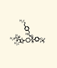 CCCc1ccc(CNC(=O)[C@H]2CN(c3nc(C)c(S(=O)(=O)NC)s3)CCN2S(=O)(=O)c2ccc(OC(F)(F)F)cc2)cc1